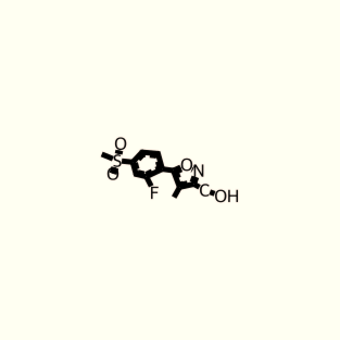 Cc1c(CO)noc1-c1ccc(S(C)(=O)=O)cc1F